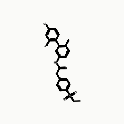 CCS(=O)(=O)c1ccc(CC(=O)Nc2ccc(C)c(-c3ccc(Cl)cc3Cl)c2)cc1